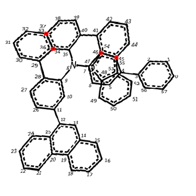 c1ccc(-c2ccc(N(c3cc(-c4cc5ccccc5c5ccccc45)ccc3-c3ccccc3)c3ccccc3-c3cccc4c3oc3ccccc34)cc2)cc1